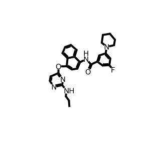 CCCNc1nccc(Oc2ccc(NC(=O)c3cc(F)cc(N4CCCCC4)c3)c3ccccc23)n1